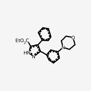 CCOC(=O)c1[nH]nc(-c2cccc(N3CCOCC3)c2)c1-c1ccccc1